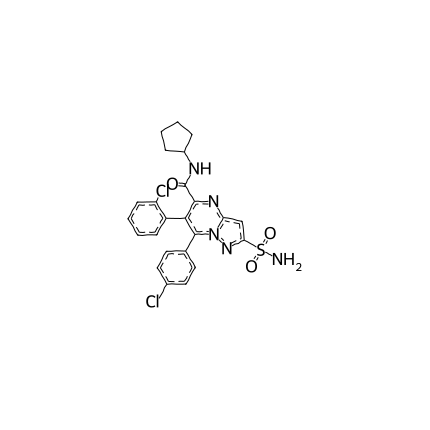 NS(=O)(=O)c1cc2nc(C(=O)NC3CCCC3)c(-c3ccccc3Cl)c(-c3ccc(Cl)cc3)n2n1